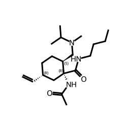 C=C[C@@H]1CC[C@@H](CN(C)C(C)C)[C@@](NC(C)=O)(C(=O)NCCCC)C1